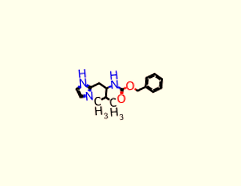 CC(C)C(Cc1ncc[nH]1)NC(=O)OCc1ccccc1